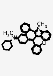 Cn1c(-c2ccccc2)c(C(=C2C=CC(=[N+](C)C3CCCCC3)C=C2)c2ccccc2Cl)c2ccccc21